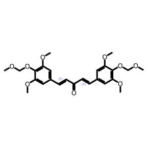 COCOc1c(OC)cc(/C=C/C(=O)/C=C/c2cc(OC)c(OCOC)c(OC)c2)cc1OC